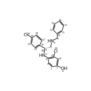 Oc1ccc(N[C@@H](CNCc2ccccc2)c2ccc(Cl)cc2)c(Cl)c1